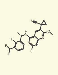 COc1nc2nc(Cl)nc(N[C@H](C)c3cccc(C(F)F)c3F)c2cc1C1(C#N)CC1